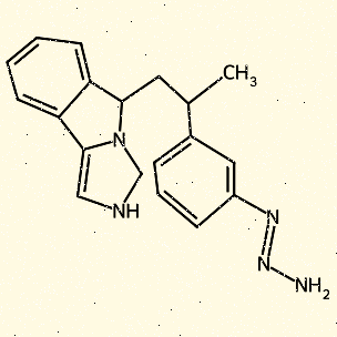 CC(CC1c2ccccc2C2=CNCN21)c1cccc(N=NN)c1